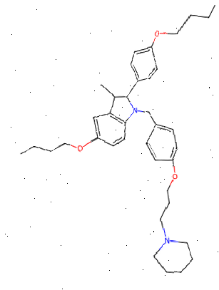 CCCCOc1ccc(C2C(C)c3cc(OCCCC)ccc3N2Cc2ccc(OCCCN3CCCCC3)cc2)cc1